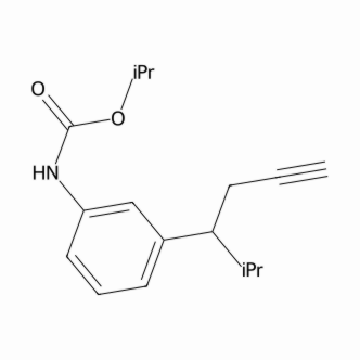 C#CCC(c1cccc(NC(=O)OC(C)C)c1)C(C)C